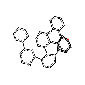 c1ccc(-c2ccnc(-c3cccc(-c4ccccc4)c3-c3cccc4c5ccccc5c5ccccc5c34)n2)cc1